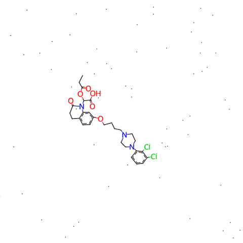 CCC(=O)OC(C(=O)O)N1C(=O)CCc2ccc(OCCCCN3CCN(c4cccc(Cl)c4Cl)CC3)cc21